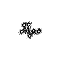 c1ccc(-c2nc(-n3c4ccccc4c4c5c(ccc43)-c3ccccc3C5)nc3c4ccccc4c(-c4ccccc4)n23)cc1